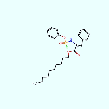 CCCCCCCCCCOC(=O)[C@H](Cc1ccccc1)NP(=O)(Cl)Oc1ccccc1